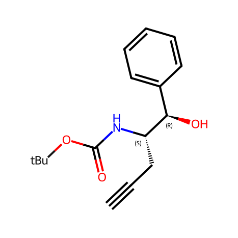 C#CC[C@H](NC(=O)OC(C)(C)C)[C@H](O)c1ccccc1